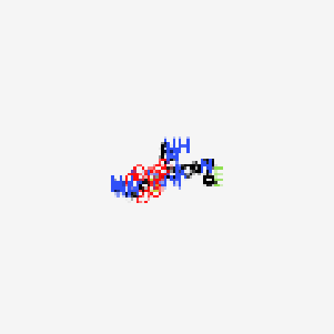 CN1CCN(C[C@H]2COc3cc(S(=O)(=O)NC(=O)c4ncc(N5CCC6(CC5)CC(N5CCCC5c5cccc(F)c5F)C6)cc4Oc4cnc5[nH]ccc5c4)cc([N+](=O)[O-])c3N2)CC1